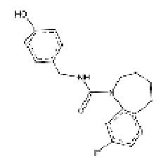 O=C(NCc1ccc(O)cc1)N1CCCCc2ccc(F)cc21